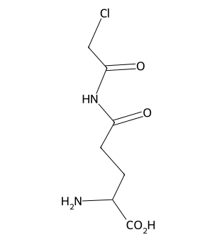 NC(CCC(=O)NC(=O)CCl)C(=O)O